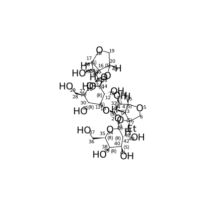 CC[C@@]1(O[C@@H]2[C@H]3OC[C@@H]2O[C@@H](O[C@@H]2[C@@H](O)[C@H](O[C@@H]4[C@H]5OC[C@@H]4O[C@@H](O)[C@H]5O)O[C@H](CO)[C@H]2O)[C@H]3O)O[C@H](CO)[C@H](O)[C@H](O)[C@H]1O